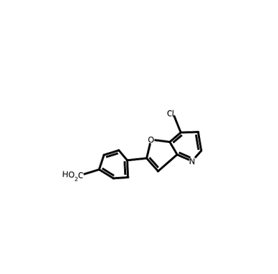 O=C(O)c1ccc(-c2cc3nccc(Cl)c3o2)cc1